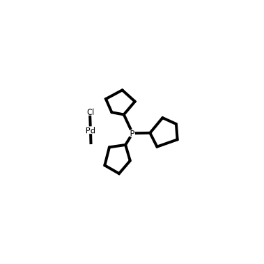 C1CCC(P(C2CCCC2)C2CCCC2)C1.[CH3][Pd][Cl]